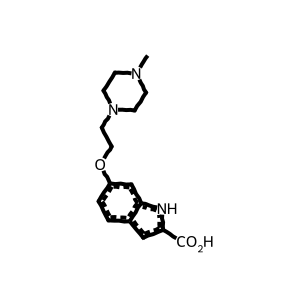 CN1CCN(CCOc2ccc3cc(C(=O)O)[nH]c3c2)CC1